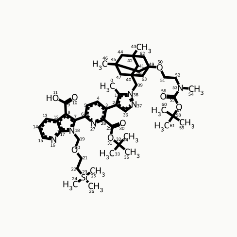 Cc1c(-c2ccc(-c3c(C(=O)O)c4cccnc4n3COCC[Si](C)(C)C)nc2C(=O)OC(C)(C)C)cnn1CC12CC3(C)CC(C)(C1)CC(OCCN(C)C(=O)OC(C)(C)C)(C3)C2